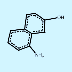 Nc1cccc2[c]cc(O)[c]c12